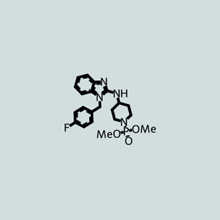 COP(=O)(OC)N1CCC(Nc2nc3ccccc3n2Cc2ccc(F)cc2)CC1